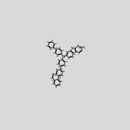 C1=Cc2c(sc3cc(N(c4ccc(-c5ccccc5)cc4)c4ccc(-c5ccc6c(ccc7ccccc76)c5)cc4)ccc23)CN1